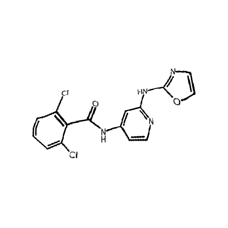 O=C(Nc1ccnc(Nc2ncco2)c1)c1c(Cl)cccc1Cl